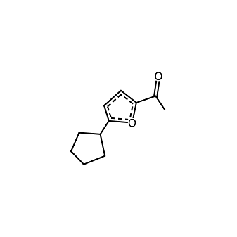 CC(=O)c1ccc(C2CCCC2)o1